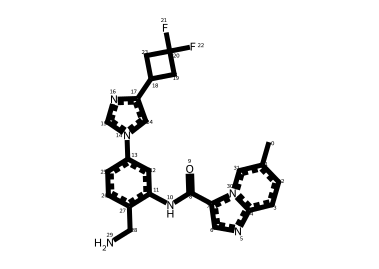 Cc1ccc2ncc(C(=O)Nc3cc(-n4cnc(C5CC(F)(F)C5)c4)ccc3CN)n2c1